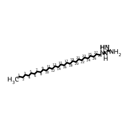 CCCCCCCCCCCCCCCCCCCCCCCCCCCCCNNC(=N)N